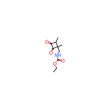 CCOC(=O)NCC1(C)C(=O)C(=O)C1C